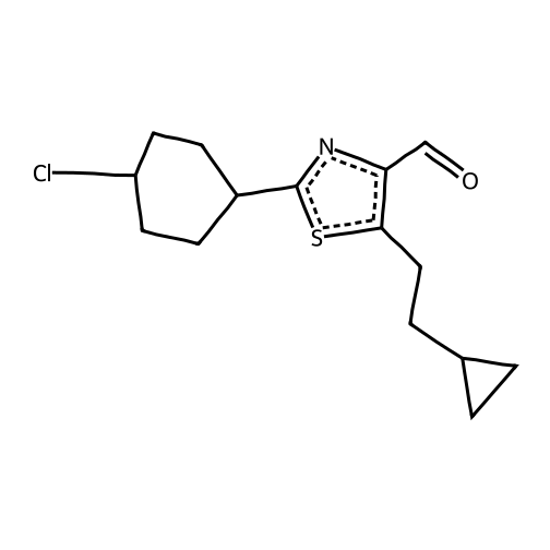 O=Cc1nc(C2CCC(Cl)CC2)sc1CCC1CC1